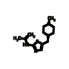 C=C(C)Nc1ncc(CN2CCN(C)CC2)s1